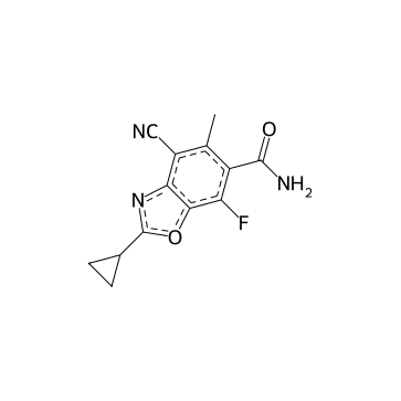 Cc1c(C(N)=O)c(F)c2oc(C3CC3)nc2c1C#N